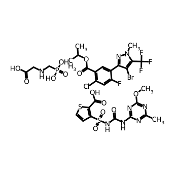 CC(C)OC(=O)c1cc(-c2nn(C)c(C(F)(F)F)c2Br)c(F)cc1Cl.COc1nc(C)nc(NC(=O)NS(=O)(=O)c2ccsc2C(=O)O)n1.O=C(O)CNCP(=O)(O)O